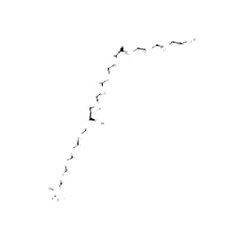 CCC[S+]([O-])CSCSCSCSCSC(=O)CSCSCSCSCC(=O)SCSCSCCO